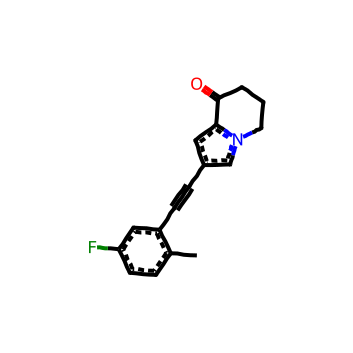 Cc1ccc(F)cc1C#Cc1cc2n(c1)CCCC2=O